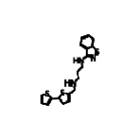 C1=C(CNCCCNc2nsc3ccccc23)SC(c2cccs2)C1